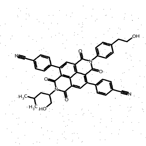 CC(C)CC(CO)N1C(=O)c2cc(-c3ccc(C#N)cc3)c3c4c(cc(-c5ccc(C#N)cc5)c(c24)C1=O)C(=O)N(c1ccc(CCO)cc1)C3=O